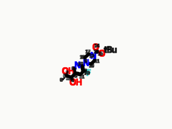 C[C@H](O)[C@@H](O)c1cnc(N2CCN(C(=O)OC(C)(C)C)CC2)c(F)c1